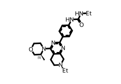 CCNC(=O)Nc1ccc(-c2nc3c(c(N4CCOC[C@@H]4C)n2)CCN(CC)C3)cc1